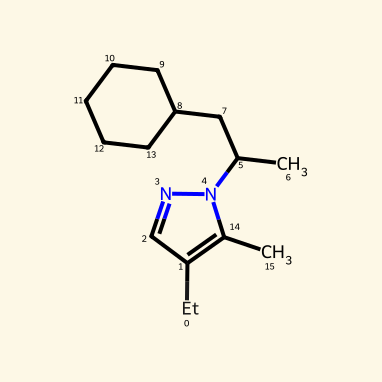 [CH2]Cc1cnn(C(C)CC2CCCCC2)c1C